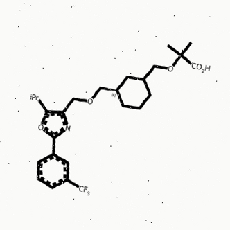 CC(C)c1oc(-c2cccc(C(F)(F)F)c2)nc1COC[C@@H]1CCCC(COC(C)(C)C(=O)O)C1